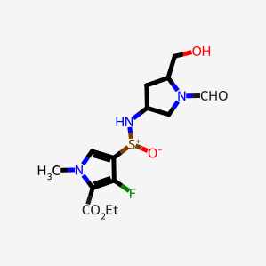 CCOC(=O)c1c(F)c([S+]([O-])NC2CC(CO)N(C=O)C2)cn1C